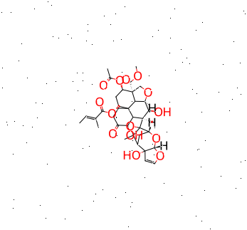 C/C=C(\C)C(=O)O[C@H]1C[C@@H](OC(C)=O)[C@@]2(C(=O)OC)CO[C@@H]3C2C12CCC(=O)C(O)C2[C@](C)(C12OC1(C)C1C[C@H]2O[C@@H]2OC=CC12O)[C@@H]3O